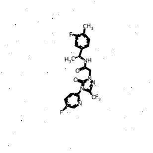 Cc1ccc([C@H](C)NC(=O)Cn2nc(C(F)(F)F)n(-c3ccc(F)cn3)c2=O)cc1F